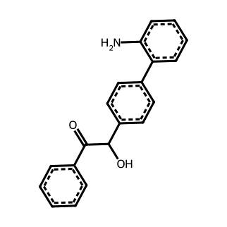 Nc1ccccc1-c1ccc(C(O)C(=O)c2ccccc2)cc1